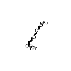 CCCCOCCOCCOCCCC(=O)OCCC